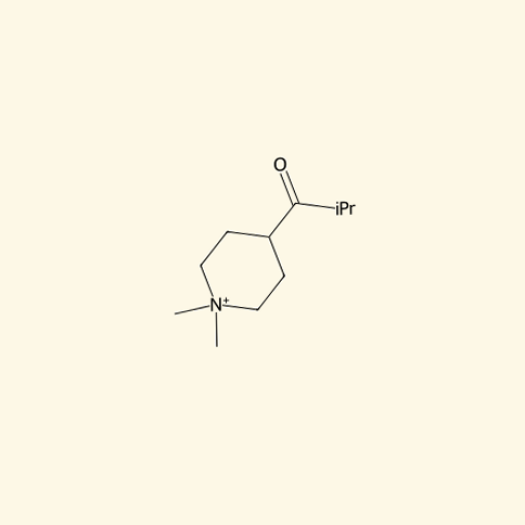 CC(C)C(=O)C1CC[N+](C)(C)CC1